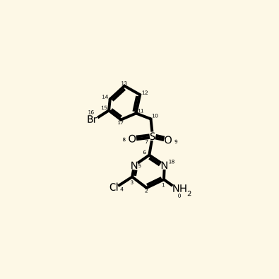 Nc1cc(Cl)nc(S(=O)(=O)Cc2cccc(Br)c2)n1